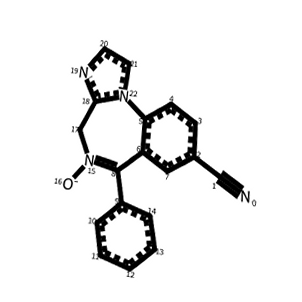 N#Cc1ccc2c(c1)C(c1ccccc1)=[N+]([O-])Cc1nccn1-2